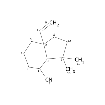 C=CC12CCCC(C#N)C1C(C)(C)CC2